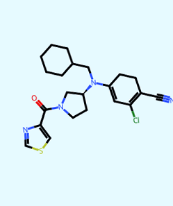 N#CC1=C(Cl)C=C(N(CC2CCCCC2)[C@H]2CCN(C(=O)c3cscn3)C2)CC1